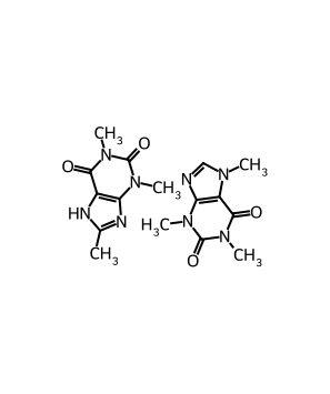 Cc1nc2c([nH]1)c(=O)n(C)c(=O)n2C.Cn1c(=O)c2c(ncn2C)n(C)c1=O